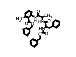 Cc1cccc(NC(=O)C(C)NC(=O)C(Cc2ccccc2)NC(=O)OCc2ccccc2)c1C(=O)OCc1ccccc1